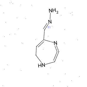 N/N=C/C1=CCNC=C=N1